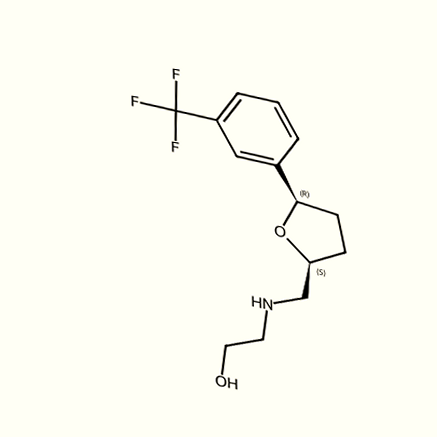 OCCNC[C@@H]1CC[C@H](c2cccc(C(F)(F)F)c2)O1